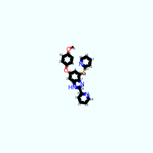 COc1ccc(Oc2cc(Sc3ccccn3)c3nc(-c4ccccn4)[nH]c3c2)cc1